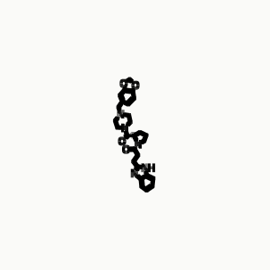 O=C([C@H]1CCCN1C(=O)CCc1nc2ccccc2[nH]1)N1CCN(Cc2ccc3c(c2)OCO3)CC1